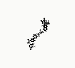 Cn1c(=O)n(C2CCC(=O)NC2=O)c2ccc(C3CCN(CC(=O)NCCOc4ccc5cc(O)c(N6CC(=O)NS6(O)O)c(F)c5c4)CC3)cc21